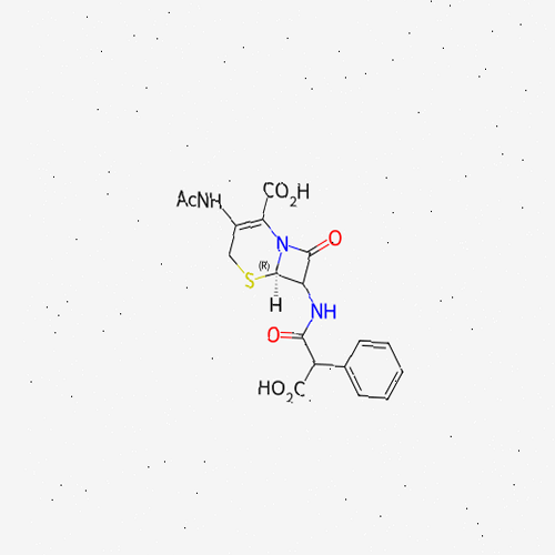 CC(=O)NC1=C(C(=O)O)N2C(=O)C(NC(=O)C(C(=O)O)c3ccccc3)[C@H]2SC1